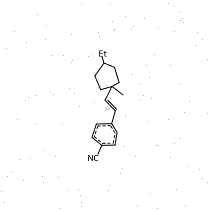 CCC1CCC(C)(/C=C/c2ccc(C#N)cc2)CC1